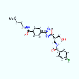 COCCCNC(=O)c1ccc(-c2noc(C(/C=N/C(=O)c3ccc(F)cc3)CO)n2)cc1